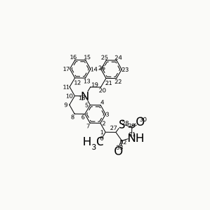 CC(c1ccc2c(c1)CCC(Cc1ccccc1)N2CCc1ccccc1)C1SC(=O)NC1=O